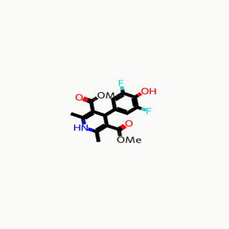 COC(=O)C1=C(C)NC(C)=C(C(=O)OC)C1c1cc(F)c(O)c(F)c1